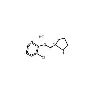 Cl.Clc1cccnc1OC[C@H]1CCCN1